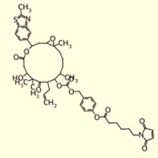 C=CCC1C(=O)C(C)(C)C(O)CC(=O)OC(c2ccc3sc(C)nc3c2)CC2OC2(C)CCCC(C)C1OC(=O)OCc1ccc(OC(=O)CCCCCN2C(=O)C=CC2=O)cc1